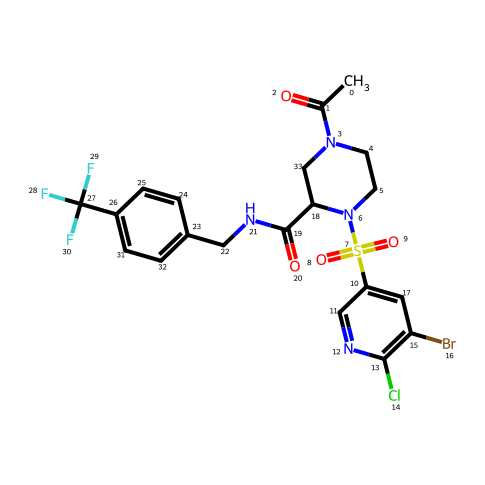 CC(=O)N1CCN(S(=O)(=O)c2cnc(Cl)c(Br)c2)C(C(=O)NCc2ccc(C(F)(F)F)cc2)C1